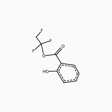 O=C(OC(F)(F)CF)c1ccccc1O